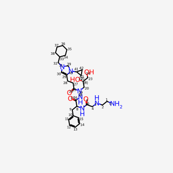 NCCNCC(=O)NC(Cc1ccccc1)C(=O)NN(C[C@@H](O)CO)C(=O)CCC1=CN(CC2CCCCC2)CN1C1CC1